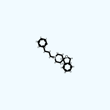 c1ccc(CCCN2CCC3(CC2)OCc2ccccc23)cc1